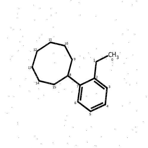 C[CH]c1ccccc1C1CCCCCCC1